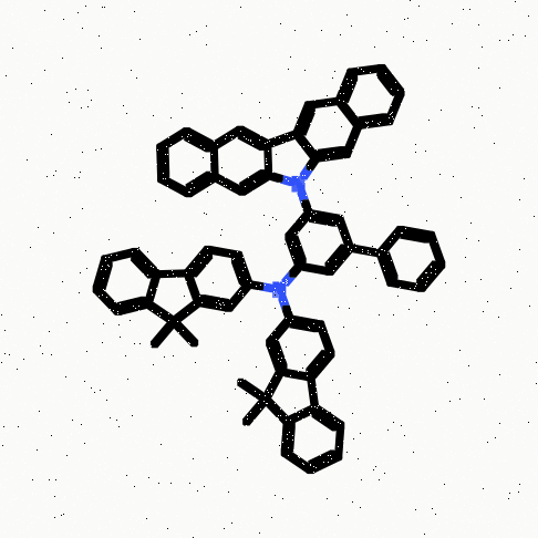 CC1(C)c2ccccc2-c2ccc(N(c3cc(-c4ccccc4)cc(-n4c5cc6ccccc6cc5c5cc6ccccc6cc54)c3)c3ccc4c(c3)C(C)(C)c3ccccc3-4)cc21